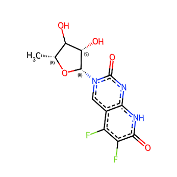 C[C@H]1O[C@@H](n2cc3c(F)c(F)c(=O)[nH]c3nc2=O)[C@@H](O)C1O